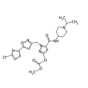 COC(=O)Oc1cc(C(=O)NC2CCN(C(C)C)CC2)n(Cc2cc(-c3ccc(Cl)s3)on2)n1